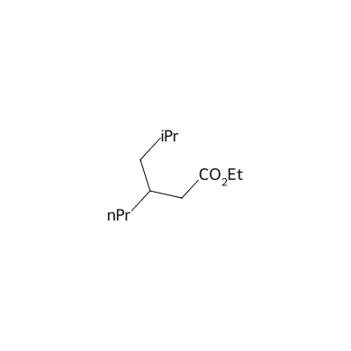 CCCC(CC(=O)OCC)CC(C)C